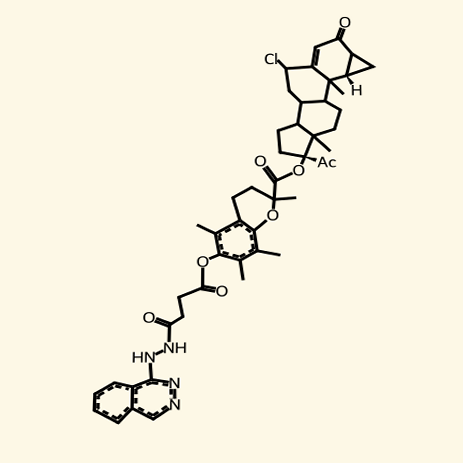 CC(=O)[C@@]1(OC(=O)C2(C)CCc3c(C)c(OC(=O)CCC(=O)NNc4nncc5ccccc45)c(C)c(C)c3O2)CCC2C3CC(Cl)C4=CC(=O)C5C[C@@H]5C4(C)C3CCC21C